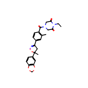 CCN1C(=O)CN(C(=O)c2ccc(C3=NOC(C)(c4ccc5c(c4)OCO5)C3)cc2C)CC1=O